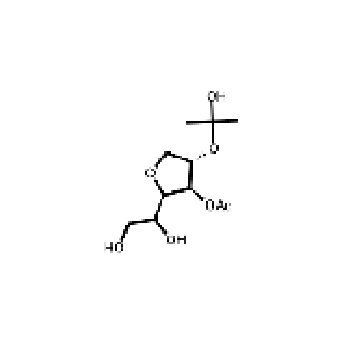 CC(=O)O[C@@H]1[C@@H](OC(C)(C)O)CO[C@@H]1C(O)CO